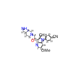 COc1cnc2c(C(=O)CN3CCC(CN)CC3)c(C)n(-c3ccc(C#N)cc3)c2c1